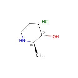 C[C@H]1NCCC[C@@H]1O.Cl